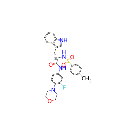 Cc1ccc(S(=O)(=O)N[C@@H](Cc2c[nH]c3ccccc23)C(=O)Nc2ccc(N3CCOCC3)c(F)c2)cc1